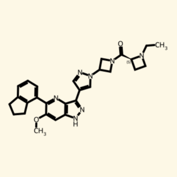 CCN1CC[C@H]1C(=O)N1CC(n2cc(-c3n[nH]c4cc(OC)c(-c5cccc6c5CCC6)nc34)cn2)C1